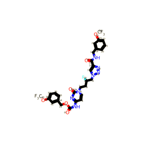 O=C(Nc1ccn(CCC(F)Cn2cc(C(=O)NCc3cccc(OC(F)(F)F)c3)nn2)c(=O)n1)OCc1cccc(OC(F)(F)F)c1